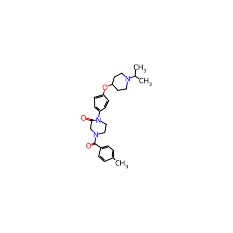 Cc1ccc(C(=O)N2CCN(c3ccc(OC4CCN(C(C)C)CC4)cc3)C(=O)C2)cc1